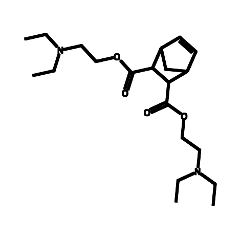 CCN(CC)CCOC(=O)C1C2C=CC(C2)C1C(=O)OCCN(CC)CC